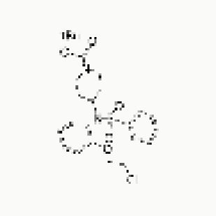 CC(C)(C)OC(=O)N1CCC(N(c2ccccc2OCCCl)S(=O)(=O)c2ccccc2)CC1